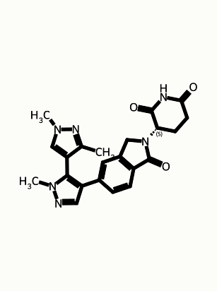 Cc1nn(C)cc1-c1c(-c2ccc3c(c2)CN([C@H]2CCC(=O)NC2=O)C3=O)cnn1C